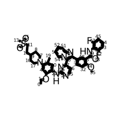 CCOc1cc(N2CCC(CCS(C)(=O)=O)CC2)c(C)cc1Nc1nccc(-c2c(-c3ccc(OC)c(C(=O)Nc4c(F)cccc4F)c3)nc3ccccn23)n1